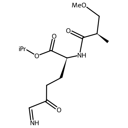 COC[C@@H](C)C(=O)N[C@@H](CCC(=O)C=N)C(=O)OC(C)C